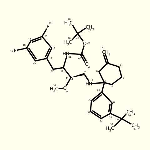 C=C1CCCC(NC[C@@H](OC)C(Cc2cc(F)cc(F)c2)NC(=O)OC(C)(C)C)(c2cccc(C(C)(C)C)c2)C1